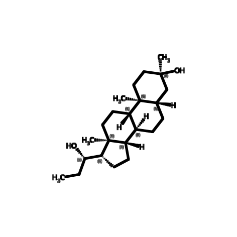 CC[C@H](O)[C@H]1CC[C@H]2[C@@H]3CC[C@H]4C[C@](C)(O)CC[C@]4(C)[C@H]3CC[C@]12C